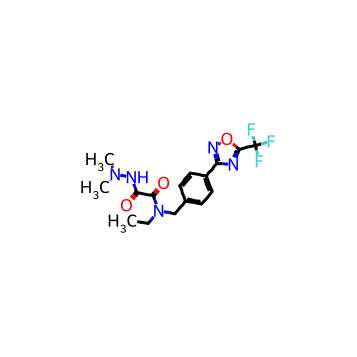 CCN(Cc1ccc(-c2noc(C(F)(F)F)n2)cc1)C(=O)C(=O)NN(C)C